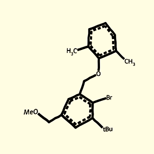 COCc1cc(COc2c(C)cccc2C)c(Br)c(C(C)(C)C)c1